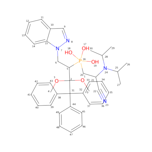 COC(OC)(C(Cn1ncc2ccccc21)P(O)(O)(O)CC(C#N)N(C(C)C)C(C)C)C(c1ccccc1)(c1ccccc1)c1ccccc1